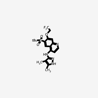 Cc1[nH]nc(Nc2ccnc3cc(OCC(F)(F)F)c(S(=O)(=O)C(C)(C)C)cc23)c1C